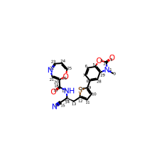 Cn1c(=O)oc2ccc(-c3ccc(C[C@@H](C#N)NC(=O)C4=CN=CC=CO4)s3)cc21